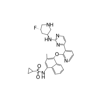 Cc1cc(NS(=O)(=O)C2CC2)c2ccccc2c1Oc1ncccc1-c1ccnc(N[C@@H]2CNC[C@@H](F)C2)n1